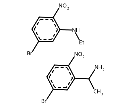 CC(N)c1cc(Br)ccc1[N+](=O)[O-].CCNc1cc(Br)ccc1[N+](=O)[O-]